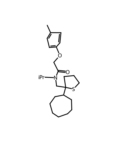 Cc1ccc(OCC(=O)N(CC2(C3CCCCCCC3)CCCS2)C(C)C)cc1